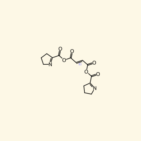 O=C(/C=C/C(=O)OC(=O)C1=NCCC1)OC(=O)C1=NCCC1